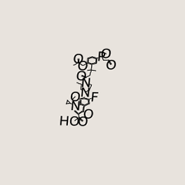 COc1c(N2CCN(C(=O)CC(C)(C)c3cc(P(C)(=O)CC=O)ccc3OC(C)=O)C(C)C2)c(F)cc2c(=O)c(C(=O)O)cn(C3CC3)c12